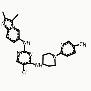 Cc1nc2ccc(Nc3ncc(Cl)c(NC4CCN(c5ccc(C#N)cn5)CC4)n3)cn2c1C